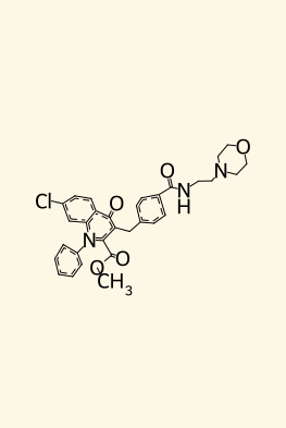 COC(=O)c1c(Cc2ccc(C(=O)NCCN3CCOCC3)cc2)c(=O)c2ccc(Cl)cc2n1-c1ccccc1